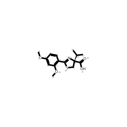 COc1ccc(C2=N[C@@](C(=O)O)(C(C)C)CS2)c(OC)c1